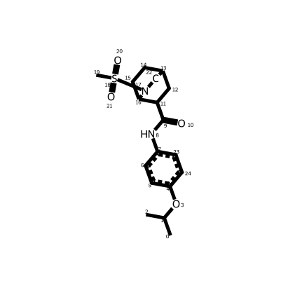 CC(C)Oc1ccc(NC(=O)C2CC3CCC2N(S(C)(=O)=O)C3)cc1